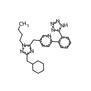 CCCCn1nc(CC2CCCCC2)nc1Cc1ccc(-c2ccccc2-c2nnn[nH]2)nc1